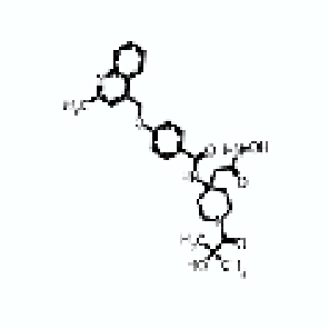 Cc1cc(COc2ccc(C(=O)NC3(CC(=O)NO)CCN(C(=O)C(C)(C)O)CC3)cc2)c2ccccc2n1